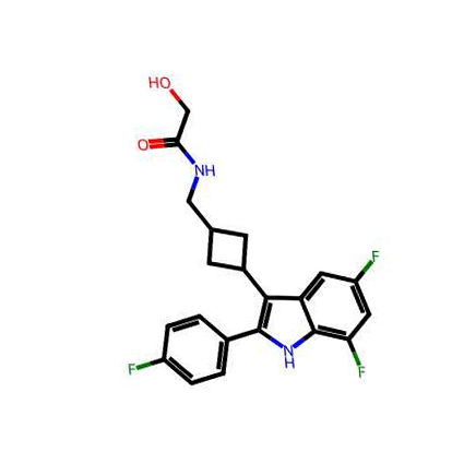 O=C(CO)NCC1CC(c2c(-c3ccc(F)cc3)[nH]c3c(F)cc(F)cc23)C1